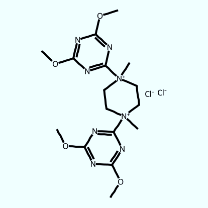 COc1nc(OC)nc([N+]2(C)CC[N+](C)(c3nc(OC)nc(OC)n3)CC2)n1.[Cl-].[Cl-]